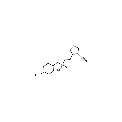 CC1CCC(N[N+](C)([O-])CCN2CSCC2C#N)CC1